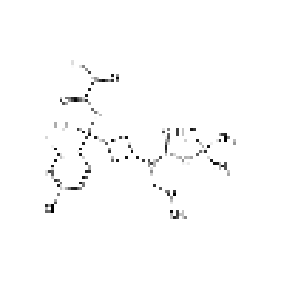 COCN(C(=O)OC(C)(C)C)C1CC(C(C)(OC(=O)C(=O)O)c2ccc(Cl)nc2F)C1